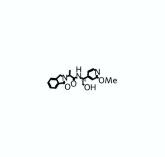 COc1cc([C@@H](CO)NC(=O)C(C)N2Cc3ccccc3C2=O)ccn1